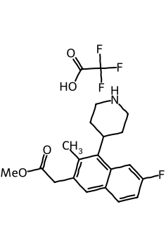 COC(=O)Cc1cc2ccc(F)cc2c(C2CCNCC2)c1C.O=C(O)C(F)(F)F